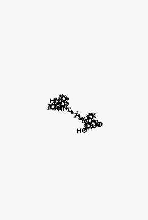 O=C(NCCCCCCCCCCOc1cc(O)cc2oc(=O)cc(-c3ccccc3)c12)C(=O)c1c(-c2ccccc2)[nH]c2ccccc12